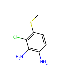 CSc1ccc(N)c(N)c1Cl